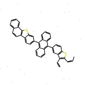 C=Cc1c(/C=C\C)sc2ccc(-c3c4ccccc4c(-c4ccc5c(c4)sc4c6ccccc6ccc54)c4ccccc34)cc12